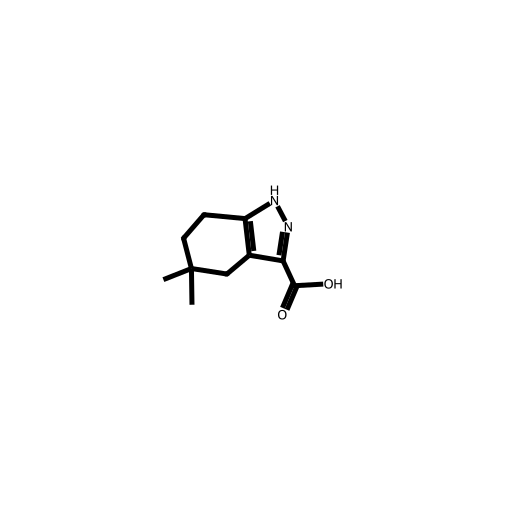 CC1(C)CCc2[nH]nc(C(=O)O)c2C1